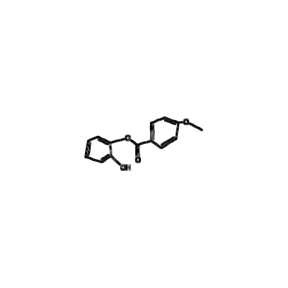 COc1ccc(C(=O)Oc2ccccc2O)cc1